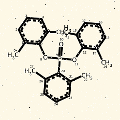 Cc1cccc(C)c1OP(=O)(Oc1c(C)cccc1C)c1c(C)cccc1C